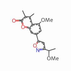 COc1cc(-c2cc(C(C)OC)no2)cc2oc(=O)c(C)c(C)c12